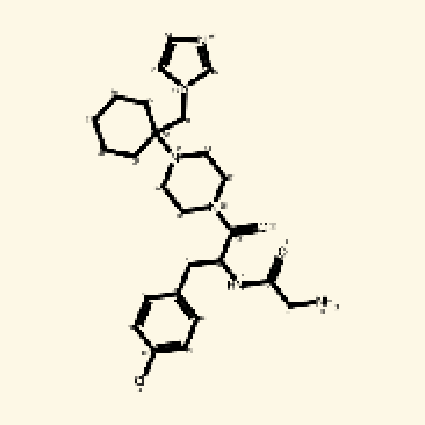 NCC(=O)NC(Cc1ccc(Cl)cc1)C(=O)N1CCN(C2(Cn3ccnc3)CCCCC2)CC1